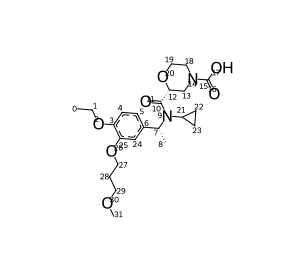 CCOc1ccc([C@@H](C)N(C(=O)[C@H]2CN(C(=O)O)CCO2)C2CC2)cc1OCCCOC